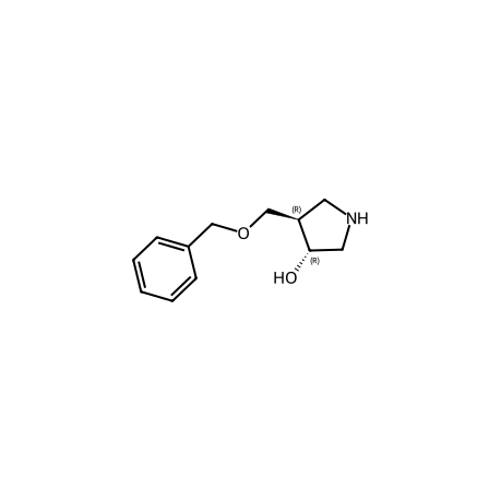 O[C@H]1CNC[C@@H]1COCc1ccccc1